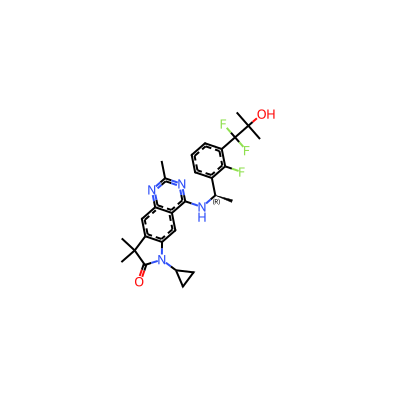 Cc1nc(N[C@H](C)c2cccc(C(F)(F)C(C)(C)O)c2F)c2cc3c(cc2n1)C(C)(C)C(=O)N3C1CC1